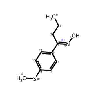 CCC/C(=N\O)c1ccc(SC)cc1